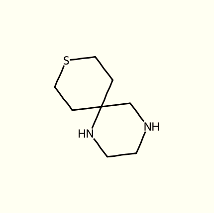 C1CNC2(CCSCC2)CN1